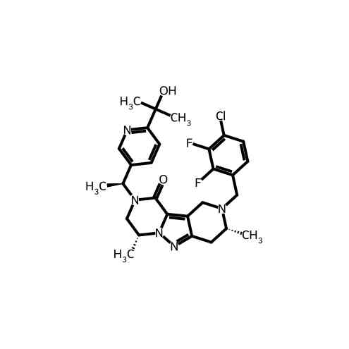 C[C@@H]1Cc2nn3c(c2CN1Cc1ccc(Cl)c(F)c1F)C(=O)N([C@@H](C)c1ccc(C(C)(C)O)nc1)C[C@H]3C